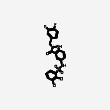 O=c1c2cc(NS(=O)(=O)c3cccc(Cl)c3Cl)ccc2[nH]n1Cc1ccc(F)c(F)c1